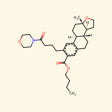 CCCCOC(=O)c1cc2c(cc1CCCC(=O)N1CCOCC1)[C@H]1CC[C@]3(C)OCC[C@H]3[C@@H]1CC2